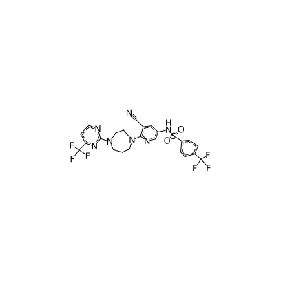 N#Cc1cc(NS(=O)(=O)c2ccc(C(F)(F)F)cc2)cnc1N1CCCN(c2nccc(C(F)(F)F)n2)CC1